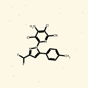 Cc1ccc(-c2cc(C(F)F)nn2-c2nc(C#N)c(Cl)c(N)c2Cl)cc1